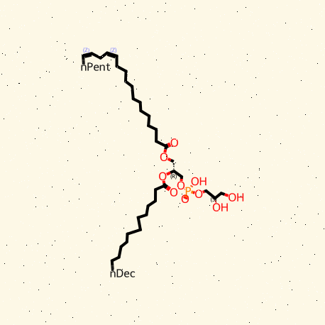 CCCCC/C=C\C/C=C\CCCCCCCCCCCC(=O)OC[C@H](COP(=O)(O)OC[C@@H](O)CO)OC(=O)CCCCCCCCCCCCCCCCCCCCC